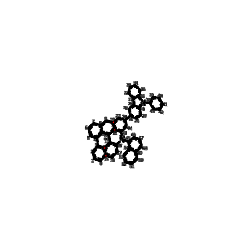 c1ccc(-c2cccc3cccc(-c4ccccc4N(c4cccc(-c5ccc6c(c5)c5ccccc5n6-c5ccccc5)c4)c4cccc5ccccc45)c23)cc1